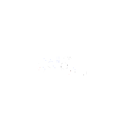 CC[C@@H]1CC[C@@H](NC(=O)c2ccc(NC3N=C4C(=CN3C)N(C)C(=O)C3(CC3)CN4C3CCCC3)c(OC)c2)C1